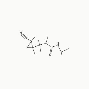 CC(C)NC(=O)C(C)C(C)(C)C1(C)CC1(C)C#N